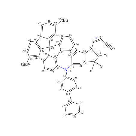 C#C/C=C\C1=C(C)C(C)(C)c2cc(N(c3ccc(-c4ccccc4)cc3)c3cccc4c3-c3ccccc3C43c4cc(C(C)(C)C)ccc4-c4ccc(C(C)(C)C)cc43)ccc21